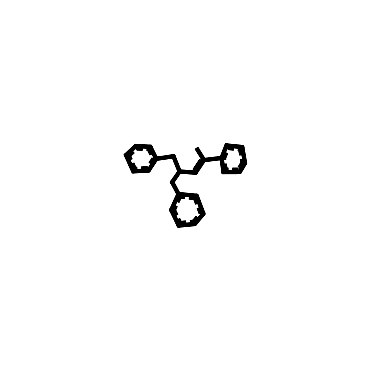 CC(=CC(Cc1ccccc1)Cc1ccccc1)c1ccccc1